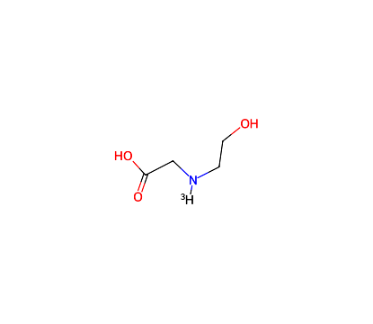 [3H]N(CCO)CC(=O)O